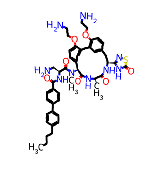 CCCCc1ccc(-c2ccc(C(=O)N[C@@H](CN)C(=O)N(C)[C@@H]3C(=O)N[C@@H](C)C(=O)N[C@H](c4nsc(=O)[nH]4)Cc4ccc(OCCN)c(c4)-c4cc3ccc4OCCN)cc2)cc1